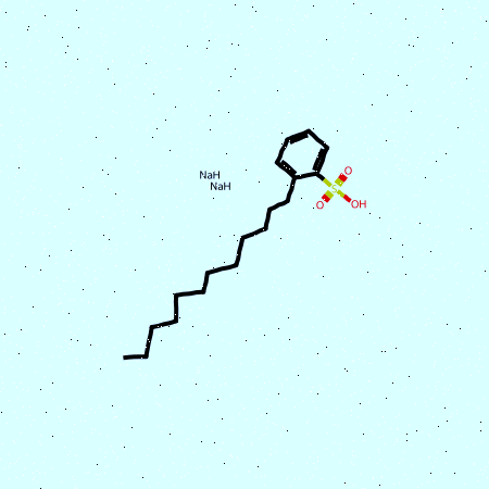 CCCCCCCCCCCCc1ccccc1S(=O)(=O)O.[NaH].[NaH]